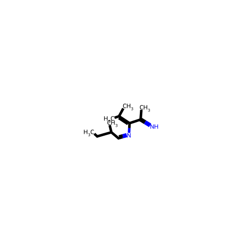 CCC(C)/C=N\C(C(C)=N)=C(C)C